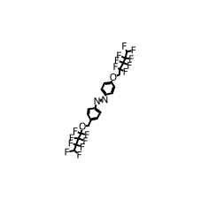 FC(F)C(F)(F)C(F)(F)C(F)(F)COc1ccc(/N=N/c2ccc(COC(F)(F)C(F)(F)C(F)(F)C(F)F)cc2)cc1